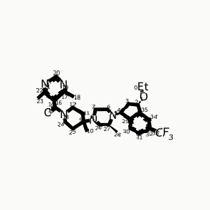 CCO[C@H]1C[C@H](N2CCN(C3(C)CCN(C(=O)c4c(C)ncnc4C)CC3)C[C@@H]2C)c2ccc(C(F)(F)F)cc21